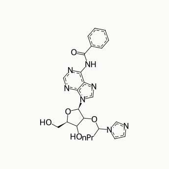 CCCC(OC1C(O)[C@@H](CO)O[C@H]1n1cnc2c(NC(=O)c3ccccc3)ncnc21)n1ccnc1